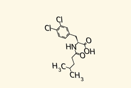 CC(C)CCC(=O)N[C@@H](Cc1ccc(Cl)c(Cl)c1)C(=O)O